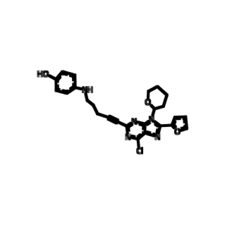 Oc1ccc(NCCCC#Cc2nc(Cl)c3nc(-c4ccco4)n(C4CCCCO4)c3n2)cc1